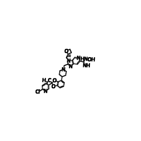 CC1(c2ccc(Cl)nc2)Oc2cccc(C3CCN(Cc4nc5cc(C(=N)NO)ncc5n4C[C@@H]4CCO4)CC3)c2O1